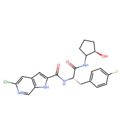 O=C(N[C@@H](Cc1ccc(F)cc1)C(=O)NC1CCC[C@H]1O)c1cc2cc(Cl)ncc2[nH]1